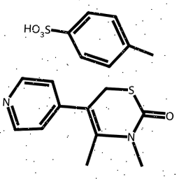 CC1=C(c2ccncc2)CSC(=O)N1C.Cc1ccc(S(=O)(=O)O)cc1